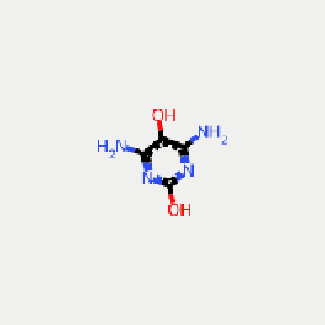 Nc1nc(O)nc(N)c1O